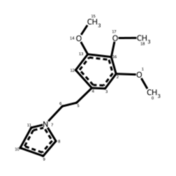 COc1cc(CCn2cccc2)cc(OC)c1OC